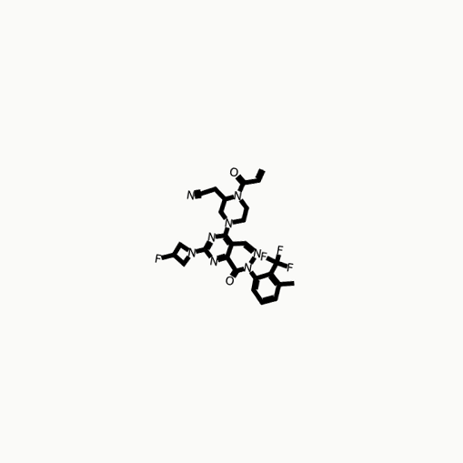 C=CC(=O)N1CCN(c2nc(N3CC(F)C3)nc3c(=O)n(-c4cccc(C)c4C(F)(F)F)ncc23)CC1CC#N